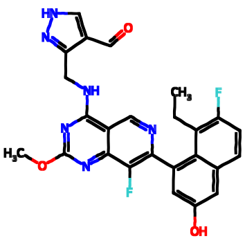 CCc1c(F)ccc2cc(O)cc(-c3ncc4c(NCc5n[nH]cc5C=O)nc(OC)nc4c3F)c12